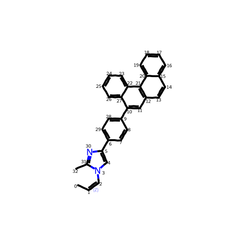 C/C=C\n1cc(-c2ccc(-c3cc4ccc5ccccc5c4c4ccccc34)cc2)nc1C